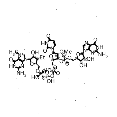 CC[C@H]1[C@@H](O)[C@H](n2c[n+](C)c3c(=O)[nH]c(N)nc32)O[C@@H]1COP(=O)(O)OP(=O)(O)OP(=O)(O)OC[C@H]1O[C@@H](n2ccc(=O)[nH]c2=O)[C@H](OC)[C@@H]1OP(=O)([O-])OC[C@H]1O[C@@H](n2cnc3c(=O)[nH]c(N)nc32)[C@H](O)[C@@H]1O